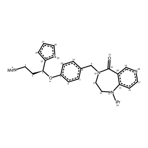 CNCC[C@H](Oc1ccc(CN2CCN(C(C)C)c3ccncc3C2=O)cc1)c1cccs1